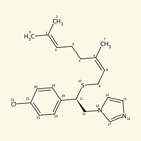 CC(C)=CCC/C(C)=C\CS[C@@H](Cn1ccnc1)c1ccc(Cl)cc1